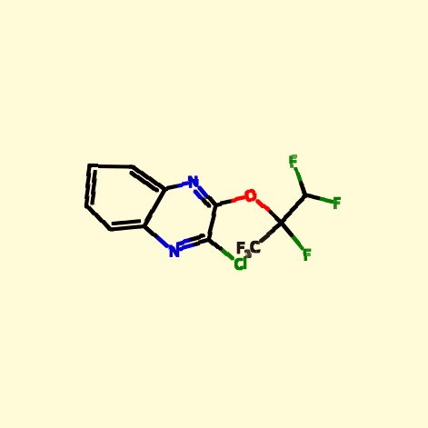 FC(F)C(F)(Oc1nc2ccccc2nc1Cl)C(F)(F)F